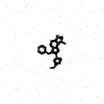 CCn1cnc(-c2cc3c(ccc4nnc(C)n43)n2Cc2ccccc2)c1